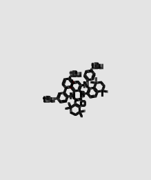 Cc1cc2c3c(c1)N(c1ccc(C(C)(C)C)cc1-c1ccc(C(C)(C)C)cc1)c1c(oc4c1C(C)(C)CCC4(C)C)B3c1ccc3c(c1N2c1ccc(C(C)(C)C)cc1)C(C)(C)CCC3(C)C